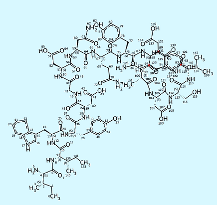 CC[C@H](C)[C@H](N)C(=O)N[C@H](C(=O)N[C@@H](Cc1c[nH]c2ccccc12)C(=O)N[C@@H](Cc1ccc(O)cc1)C(=O)N[C@@H](CC(=O)O)C(=O)NCC(=O)N[C@@H](CC(=O)O)C(=O)N[C@@H](CC(N)=O)C(=O)N[C@@H](CCC(N)=O)C(=O)N[C@@H](Cc1ccc(O)cc1)C(=O)N[C@@H](Cc1ccc(O)cc1)C(=O)N[C@@H](C)C(=O)N[C@@H](CC(=O)O)C(=O)N[C@@H](CO)C(=O)N[C@H](C(=O)N[C@@H](CCCCN)C(=O)NCC(=O)O)C(C)C)[C@@H](C)CC